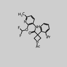 CC(=O)N1CC(C(=O)Nc2ccc(C)nc2OC(F)F)(c2ccccc2C(C)C)C1